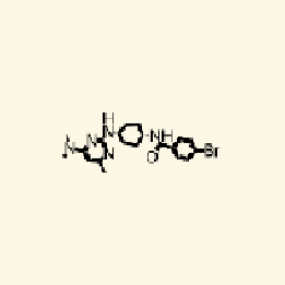 Cc1cc(N(C)C)nc(N[C@H]2CC[C@@H](NC(=O)c3ccc(Br)cc3)CC2)n1